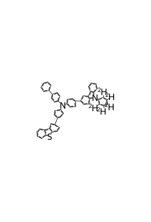 [2H]c1c([2H])c([2H])c(-n2c3ccccc3c3cc(-c4ccc(N(c5ccc(-c6ccccc6)cc5)c5ccc(-c6ccc7sc8ccccc8c7c6)cc5)cc4)ccc32)c([2H])c1[2H]